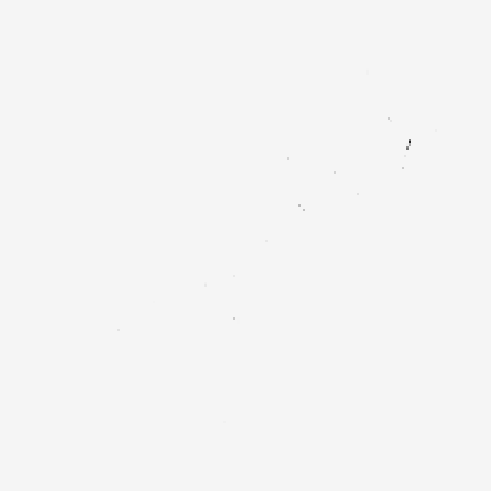 Cc1ccnc([C@H]2C[C@@H]2C(=O)Nc2ncc(F)c(NCc3cn4cc(C5CC5)cc(N5CC(=O)N(CCOCc6ccccc6)C5=O)c4n3)n2)n1